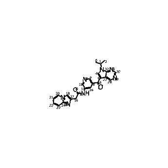 CC(C)n1cc(C(=O)c2cncc(NC(=O)Cc3cn4ccccc4n3)c2)c2cncnc21